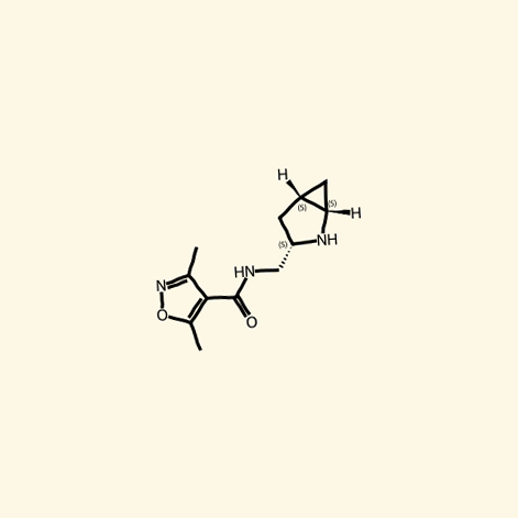 Cc1noc(C)c1C(=O)NC[C@@H]1C[C@@H]2C[C@@H]2N1